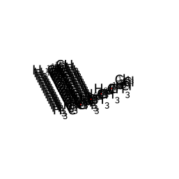 CCCCCC.CCCCCC.CCCCCC.CCCCCC.CCCCCC.CCCCCC.CCCCCC.CCCCCC.CCCCCC.CCCCCC.CCCCCC.CCCCCC.CCCCCC.CCCCCC.CCCCCC.CCCCCC.CCCCCC.CCCCCC.CCCCCC.CCCCCCC(Cl)C(Cl)Cl